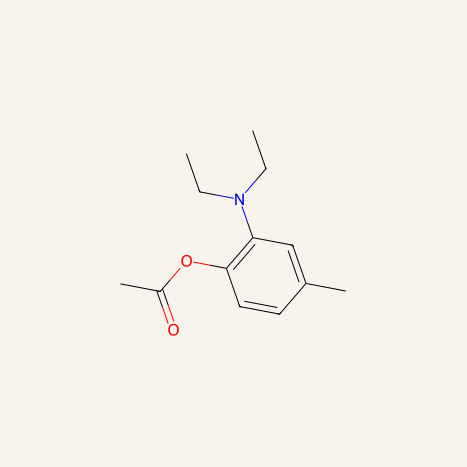 CCN(CC)c1cc(C)ccc1OC(C)=O